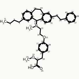 CCCCc1ccc2c(c1)C(N(C)CCOc1ccc(CC(OC)C(=O)O)cc1)c1ccc(CCc3ccccc3)cc1CC2